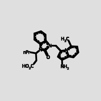 CCCC(CC(=O)O)n1c(=O)n(Cc2cc(N)c3cccc(C)n23)c2ccccc21